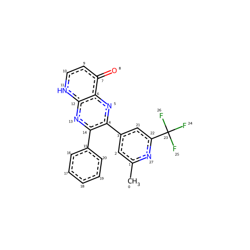 Cc1cc(-c2nc3c(=O)cc[nH]c3nc2-c2ccccc2)cc(C(F)(F)F)n1